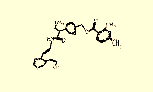 C/C=C\c1cnccc1/C=C/NC(=O)C(CN)c1ccc(COC(=O)c2ccc(C)cc2C)cc1